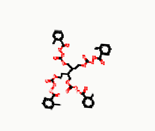 Cc1ccccc1C(=O)OOC(=O)OCCC(COC(=O)OOC(=O)c1ccccc1C)C(CCOC(=O)OOC(=O)c1ccccc1C)COC(=O)OOC(=O)c1ccccc1C